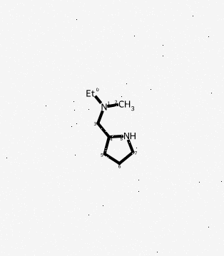 CCN(C)CC1CCCN1